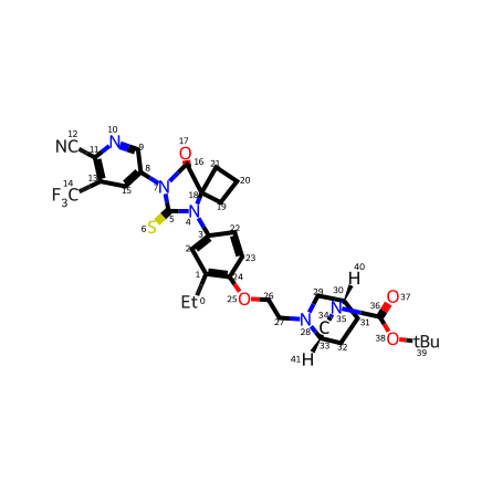 CCc1cc(N2C(=S)N(c3cnc(C#N)c(C(F)(F)F)c3)C(=O)C23CCC3)ccc1OCCN1C[C@@H]2CC[C@H]1CN2C(=O)OC(C)(C)C